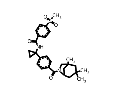 CC1(C)CC2CC(C)(CN2C(=O)c2ccc(C3(NC(=O)c4ccc(S(C)(=O)=O)cc4)CC3)cc2)C1